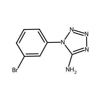 Nc1nnnn1-c1cccc(Br)c1